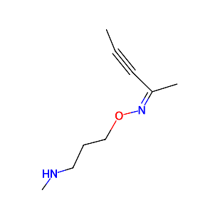 CC#C/C(C)=N\OCCCNC